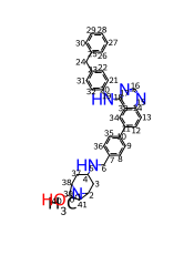 CN1C2CC(NCc3ccc(-c4ccc5ncnc(Nc6ccc(Cc7ccccc7)cc6)c5c4)cc3)CC1C(O)C2